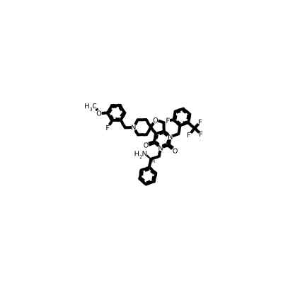 COc1cccc(CN2CCC3(CC2)OCc2c3c(=O)n(C[C@H](N)c3ccccc3)c(=O)n2Cc2c(F)cccc2C(F)(F)F)c1F